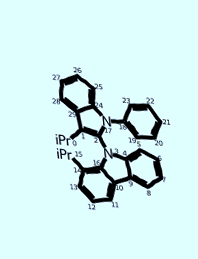 CC(C)c1c(-n2c3ccccc3c3cccc(C(C)C)c32)n(-c2ccccc2)c2ccccc12